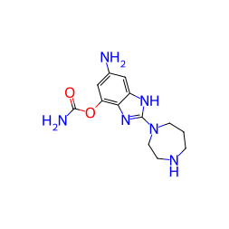 NC(=O)Oc1cc(N)cc2[nH]c(N3CCCNCC3)nc12